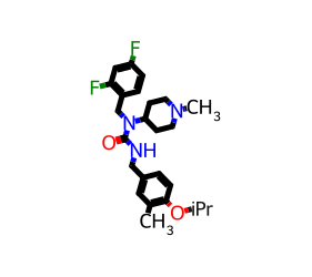 Cc1cc(CNC(=O)N(Cc2ccc(F)cc2F)C2CCN(C)CC2)ccc1OC(C)C